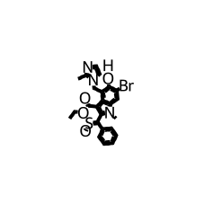 CCOC(=O)c1c(C(=S=O)c2ccccc2)n(C)c2cc(Br)c(O)c(Cn3ccnc3C)c12